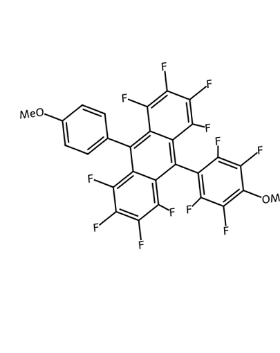 COc1ccc(-c2c3c(F)c(F)c(F)c(F)c3c(-c3c(F)c(F)c(OC)c(F)c3F)c3c(F)c(F)c(F)c(F)c23)cc1